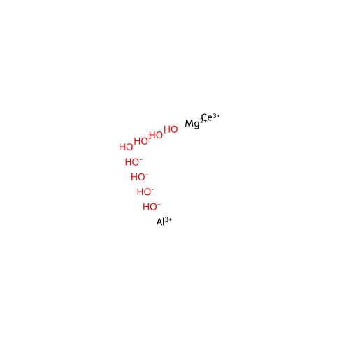 [Al+3].[Ce+3].[Mg+2].[OH-].[OH-].[OH-].[OH-].[OH-].[OH-].[OH-].[OH-]